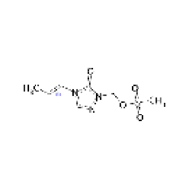 C/C=C/n1cnn(COS(C)(=O)=O)c1=O